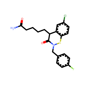 NC(=O)CCCCC1C(=O)N(Cc2ccc(F)cc2)Sc2ccc(Cl)cc21